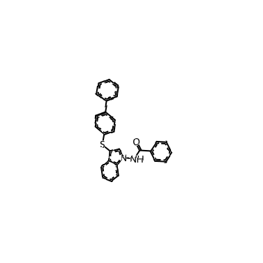 O=C(Nn1cc(Sc2ccc(-c3ccccc3)cc2)c2ccccc21)c1ccccc1